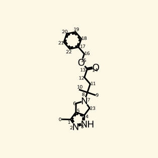 Cc1n[nH]c2c1CN(C(C)(C)CCC(=O)OCc1ccccc1)C2